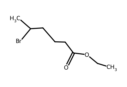 CCOC(=O)CCCC(C)Br